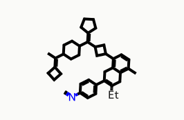 C=Nc1ccc(C2=C(CC)Cc3c(C)ccc(C4CC(C(=C5CCCC5)C5CCC(C(C)=C6CCC6)CC5)C4)c3C2)cc1